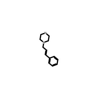 C(=Cc1ccccc1)CN1CC[N]CC1